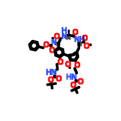 COC(=O)[C@@H]1Cc2cc(OCCNC(=O)OC(C)(C)C)c(OC)c(c2)-c2cc(ccc2OCCNC(=O)OC(C)(C)C)[C@H](N(C)C(=O)OCc2ccccc2)C(=O)N[C@@H](C)C(=O)N1